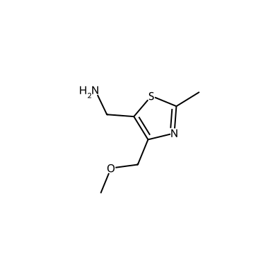 COCc1nc(C)sc1CN